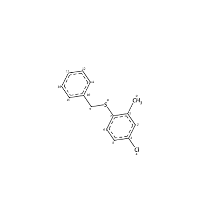 Cc1cc(Cl)c[c]c1SCc1ccccc1